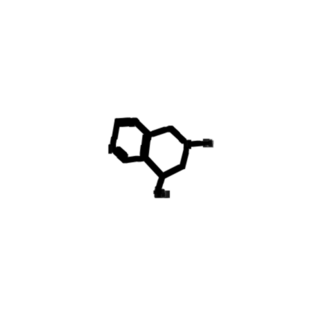 CCN1Cc2ccncc2C(C(C)(C)C)C1